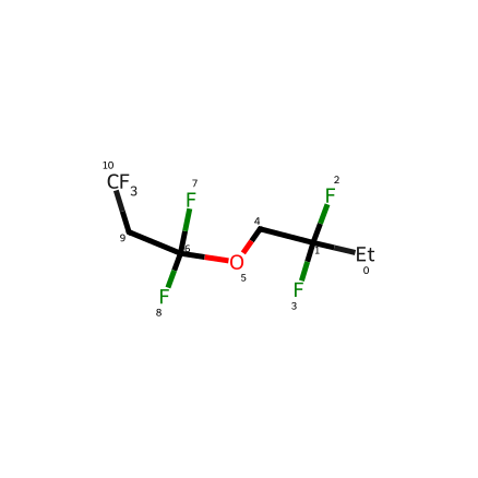 CCC(F)(F)COC(F)(F)CC(F)(F)F